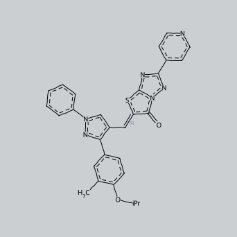 Cc1cc(-c2nn(-c3ccccc3)cc2/C=c2\sc3nc(-c4ccncc4)nn3c2=O)ccc1OC(C)C